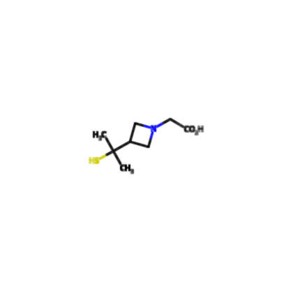 CC(C)(S)C1CN(CC(=O)O)C1